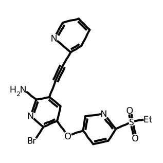 CCS(=O)(=O)c1ccc(Oc2cc(C#Cc3ccccn3)c(N)nc2Br)cn1